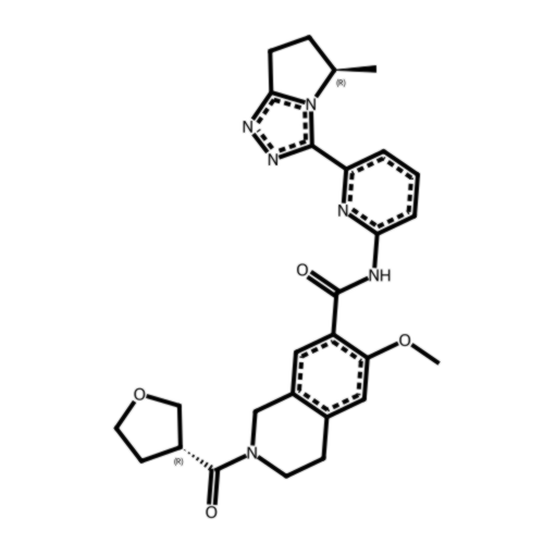 COc1cc2c(cc1C(=O)Nc1cccc(-c3nnc4n3[C@H](C)CC4)n1)CN(C(=O)[C@@H]1CCOC1)CC2